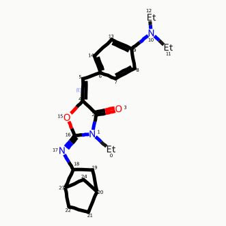 CCN1C(=O)/C(=C\c2ccc(N(CC)CC)cc2)OC1=NC1CC2CCC1C2